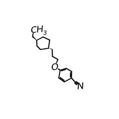 CC[C@H]1CC[C@H](CCCOc2ccc(C#N)cc2)CC1